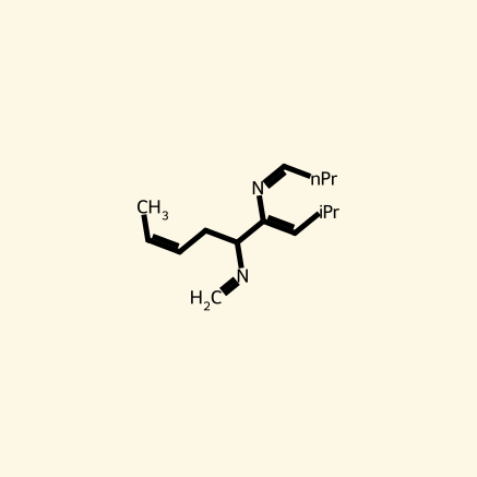 C=NC(C/C=C\C)C(=C/C(C)C)/N=C\CCC